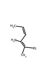 C/C=C\C(N)=C(\C)CC